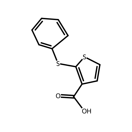 O=C(O)c1ccsc1Sc1ccccc1